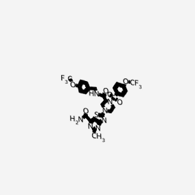 Cc1nc(C(N)=O)c2sc(N3CCN(S(=O)(=O)c4ccc(OC(F)(F)F)cc4)C(C(=O)NCc4ccc(OC(F)(F)F)cc4)C3)nc2n1